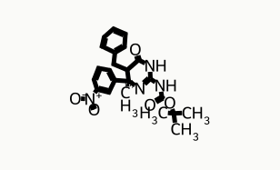 CC(C)(C)OC(=O)NC1=N[C@](C)(c2cccc([N+](=O)[O-])c2)C(Cc2ccccc2)C(=O)N1